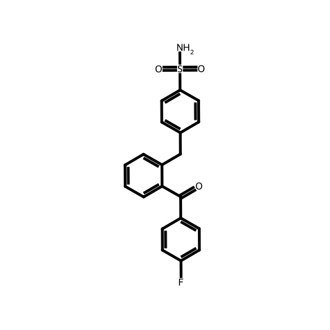 NS(=O)(=O)c1ccc(Cc2ccccc2C(=O)c2ccc(F)cc2)cc1